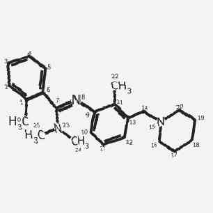 Cc1ccccc1/C(=N/c1cccc(CN2CCCCC2)c1C)N(C)C